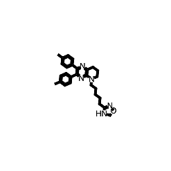 Cc1ccc(-c2nc3c(nc2-c2ccc(C)cc2)N(CCCCCC2=NOCN2)CCC3)cc1